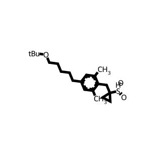 Cc1cc(CCCCCOC(C)(C)C)cc(C)c1CC1([SH](=O)=O)CC1